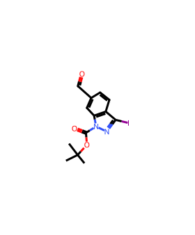 CC(C)(C)OC(=O)n1nc(I)c2ccc(C=O)cc21